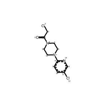 O=C(CCl)N1CCN(c2ccc(Cl)cn2)CC1